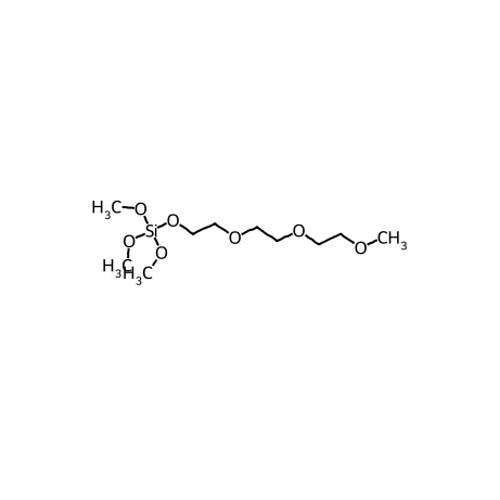 COCCOCCOCCO[Si](OC)(OC)OC